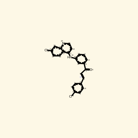 O=C(/C=C/c1ccc(Cl)cc1)c1cccc(Nc2ccnc3cc(Cl)ccc23)c1